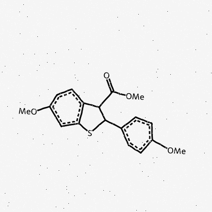 COC(=O)C1c2ccc(OC)cc2SC1c1ccc(OC)cc1